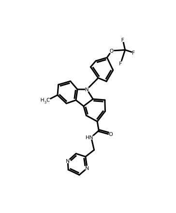 Cc1ccc2c(c1)c1cc(C(=O)NCc3cnccn3)ccc1n2-c1ccc(OC(F)(F)F)cc1